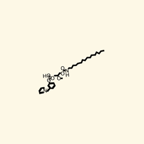 CCCCCCCCCCCCCCCCNC(=O)OCC(COP(O)Oc1cccc(C[n+]2ccccc2)c1)OC